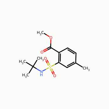 COC(=O)c1ccc(C)cc1S(=O)(=O)NC(C)(C)C